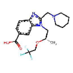 C[C@@H](Cn1c(CN2CCCCC2)nc2ccc(C(=O)O)cc21)OCC(F)(F)F